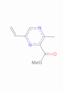 C=Cc1cnc(C)c(C(=O)OC)n1